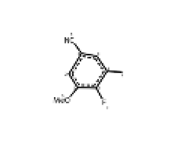 COc1cc(C#N)cc(C)c1F